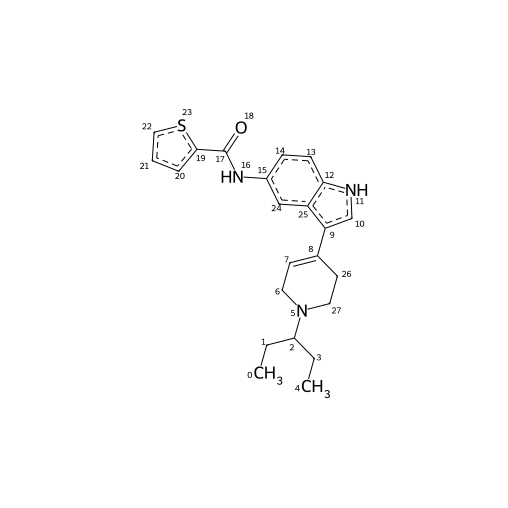 CCC(CC)N1CC=C(c2c[nH]c3ccc(NC(=O)c4cccs4)cc23)CC1